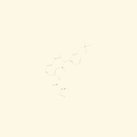 Cc1nc2cccc(NC(=O)c3cscn3)c2c(=O)n1-c1cccc(OC(F)(F)F)c1